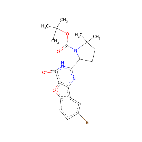 CC(C)(C)OC(=O)N1C(c2nc3c(oc4ccc(Br)cc43)c(=O)[nH]2)CCC1(C)C